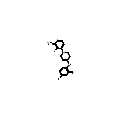 N#Cc1cccc(N2CCC(Oc3ccc(F)cc3F)CC2)c1F